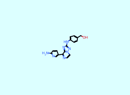 Nc1ccc(-c2nccn3nc(Nc4ccc(CO)cc4)nc23)cn1